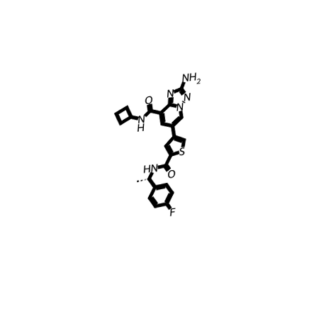 C[C@H](NC(=O)c1cc(-c2cc(C(=O)NC3CCC3)c3nc(N)nn3c2)cs1)c1ccc(F)cc1